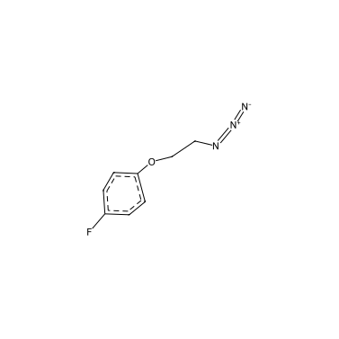 [N-]=[N+]=NCCOc1ccc(F)cc1